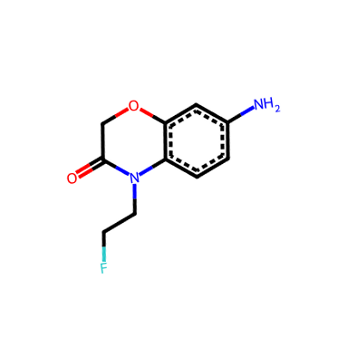 Nc1ccc2c(c1)OCC(=O)N2CCF